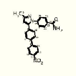 Cc1cc(-c2ccc(-c3ccc([N+](=O)[O-])cc3)cc2)n(-c2ccc(C(N)=O)cc2)n1